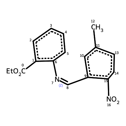 CCOC(=O)c1ccccc1/N=C\c1cc(C)ccc1[N+](=O)[O-]